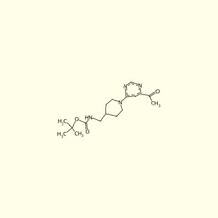 CC(=O)c1cc(N2CCC(CNC(=O)OC(C)(C)C)CC2)ncn1